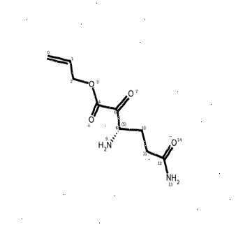 C=CCOC(=O)C(=O)[C@@H](N)CCC(N)=O